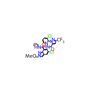 COCn1cc2cc(Cl)c(NC(=O)c3cc(C(F)(F)F)nn3-c3ncccc3Cl)c(C(=O)NC(C)C)c2n1